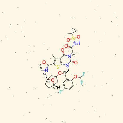 Cc1c(-c2ncco2)sc2c1c(=O)n([C@@H](C)C(=O)NS(=O)(=O)C1(C)CC1)c(=O)n2C[C@H](OC1C[C@H]2CC[C@@H](C1)O2)c1cc(F)ccc1OC(F)F